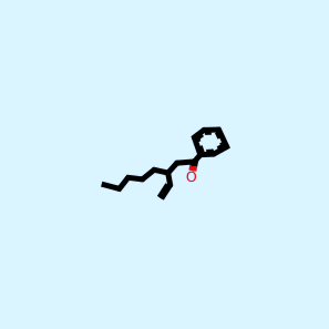 C=CC(CCCCC)CC(=O)c1ccccc1